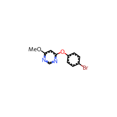 COc1cc(Oc2ccc(Br)cc2)ncn1